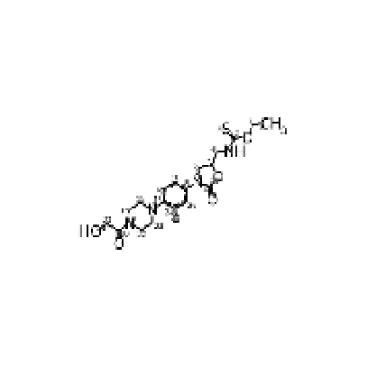 CCOC(=S)NCC1CN(c2ccc(N3CCN(C(=O)CO)CC3)c(F)c2)C(=O)O1